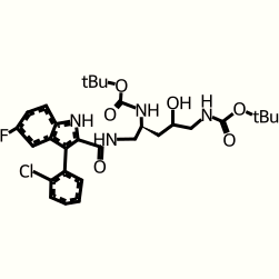 CC(C)(C)OC(=O)NCC(O)C[C@@H](CNC(=O)c1[nH]c2ccc(F)cc2c1-c1ccccc1Cl)NC(=O)OC(C)(C)C